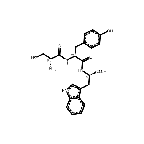 N[C@H](CS)C(=O)N[C@@H](Cc1ccc(O)cc1)C(=O)N[C@H](Cc1c[nH]c2ccccc12)C(=O)O